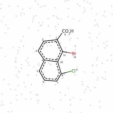 O=C(O)c1ccc2cccc(Cl)c2c1Br